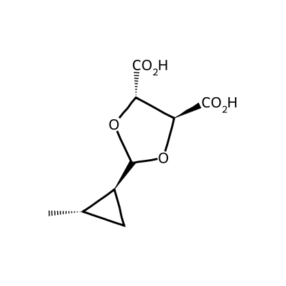 C[C@H]1C[C@@H]1C1O[C@H](C(=O)O)[C@@H](C(=O)O)O1